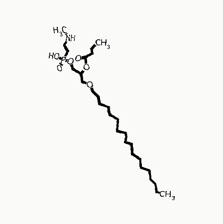 CCCCCCCCCCCCCCCCCCOCC(COP(=O)(O)CCNC)OC(=O)CCC